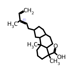 C=C/C(C)=C/CC1CCC2CCC3C(C)(C(=O)O)CCCC3(C)C2C1